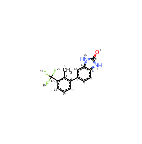 Cc1c(-c2ccc3[nH]c(=O)[nH]c3c2)cccc1C(F)(F)F